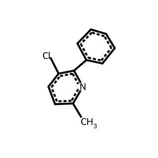 Cc1ccc(Cl)c(-c2ccccc2)n1